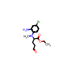 CCOC(=O)C(CCC=O)N(C)c1ccc(Br)cc1N